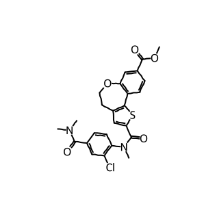 COC(=O)c1ccc2c(c1)OCCc1cc(C(=O)N(C)c3ccc(C(=O)N(C)C)cc3Cl)sc1-2